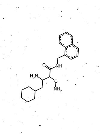 NOC(C(=O)NCc1cccc2ccccc12)C(N)CC1CCCCC1